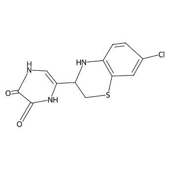 O=c1[nH]cc(C2CSc3cc(Cl)ccc3N2)[nH]c1=O